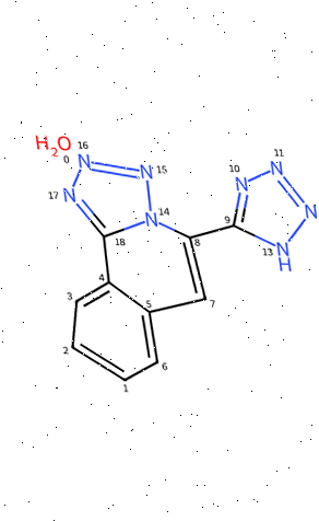 O.c1ccc2c(c1)cc(-c1nnn[nH]1)n1nnnc21